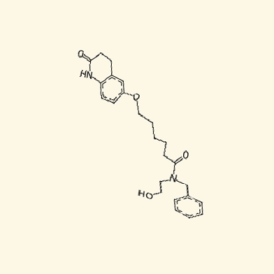 O=C1CCc2cc(OCCCCCC(=O)N(CCO)Cc3ccccc3)ccc2N1